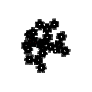 N#Cc1cc(-n2c3ccc(-c4nc(-c5ccccc5)nc(-c5ccccc5)n4)cc3c3cc(-c4nc(-c5ccccc5)nc(-c5ccccc5)n4)ccc32)c(-n2c3ccc(-c4nc(-c5ccccc5)nc(-c5ccccc5)n4)cc3c3cc(-c4nc(-c5ccccc5)nc(-c5ccccc5)n4)ccc32)cc1-c1nc(-c2ccccc2)cc(-c2ccccc2)n1